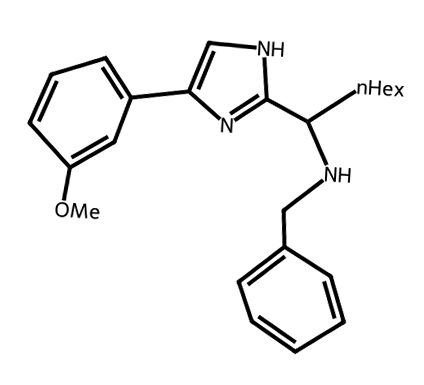 CCCCCCC(NCc1ccccc1)c1nc(-c2cccc(OC)c2)c[nH]1